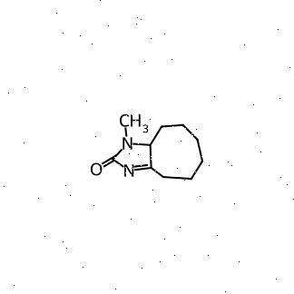 CN1C(=O)N=C2CCCCCCC21